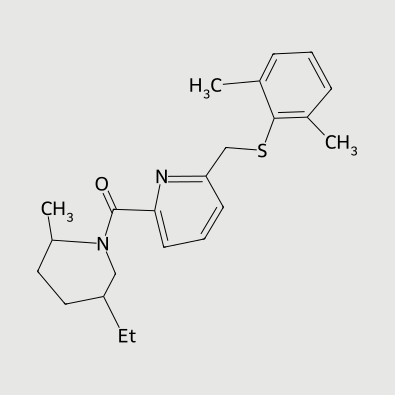 CCC1CCC(C)N(C(=O)c2cccc(CSc3c(C)cccc3C)n2)C1